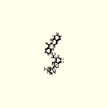 C=C(c1cccc(OCc2cccc3oc(-c4nnn[nH]4)nc23)c1)c1ccc2ccccc2n1